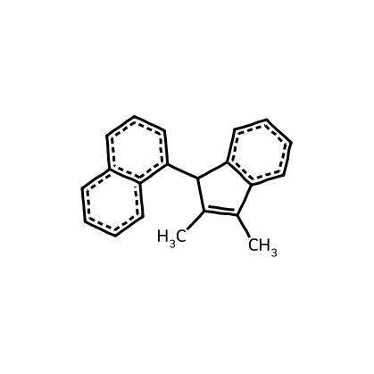 CC1=C(C)C(c2cccc3ccccc23)c2ccccc21